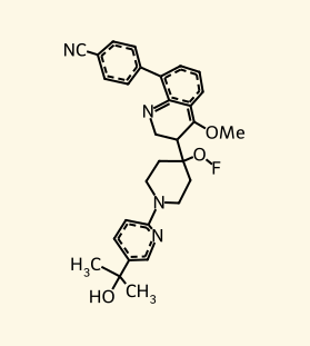 COC1=c2cccc(-c3ccc(C#N)cc3)c2=NCC1C1(OF)CCN(c2ccc(C(C)(C)O)cn2)CC1